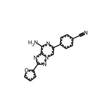 N#Cc1ccc(-c2cn3nc(-c4ccco4)nc3c(N)n2)cc1